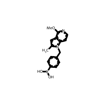 COc1nccc2c1cc(C)n2Cc1ccc(B(O)O)cc1